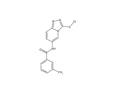 CCSc1nnc2ccc(NC(=O)c3cccc(C)c3)cn12